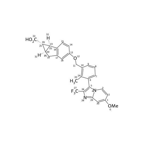 COc1ccn2c(-c3cccc(COc4ccc5c(c4)C[C@H]4[C@H](C(=O)O)[C@@H]54)c3C)c(C(F)(F)F)nc2c1